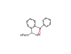 CCCCCC(CCC)c1ccccc1C(=O)c1ccccc1